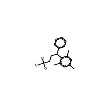 BC(Cl)(Cl)CCC(c1ccccc1)c1c(C)cc(C)cc1C